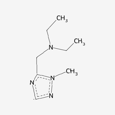 CCN(CC)Cc1n[c]nn1C